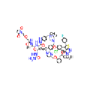 COc1ccccc1-c1nccc(COc2ccccc2C[C@@H](Oc2ncnc3sc(-c4ccc(F)cc4)c(-c4ccc(OCCN5CC[N+](C)(Cc6ccc(NC(=O)C(CCCNC(N)=O)NC(=O)C(NC(=O)CCOCCN7C(=O)C=CC7=O)C(C)C)cc6)CC5)c(Cl)c4C)c23)C(=O)O)n1